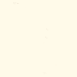 COc1ccc(C2=NN(S(C)(=O)=O)[C@H](c3ccc(OC)c(O)c3)C2)cc1